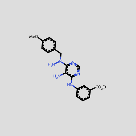 CCOC(=O)c1cccc(Nc2ncnc(N(N)Cc3ccc(OC)cc3)c2N)c1